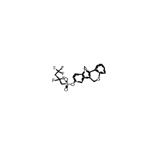 Cn1c2c(c3cc(OS(=O)(=O)CC(F)(F)CC(F)(F)F)ccc31)CSc1ccccc1-2